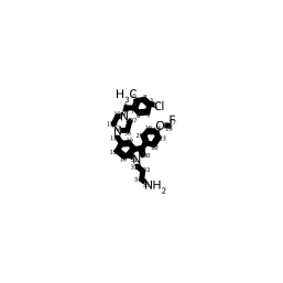 Cc1cc(Cl)ccc1CN1CCN(Cc2ccc3c(c2)c(-c2ccc(OCF)cc2)cn3CCCN)CC1